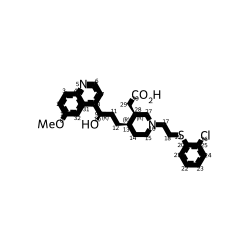 COc1ccc2nccc([C@H](O)CC[C@@H]3CCN(CCSc4ccccc4Cl)C[C@@H]3CC(=O)O)c2c1